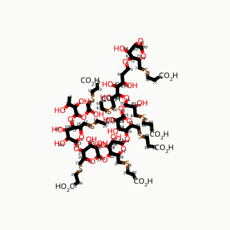 CC(O)C(O)C(OC(O)CSCCC(=O)O)OC1C(CSCCC(=O)O)OC(OC2C(CSCCC(=O)O)OC(OC3C(CSCCC(=O)O)OC(OC4C(CSCCC(=O)O)OC(OC(OC(C(O)CSCCC(=O)O)C(O)C(O)CCOC5C(CSCCC(=O)O)OC6OC6C5O)C(O)CSCCC(=O)O)C(O)C4O)C(O)C3O)C(O)C2O)C(O)C1O